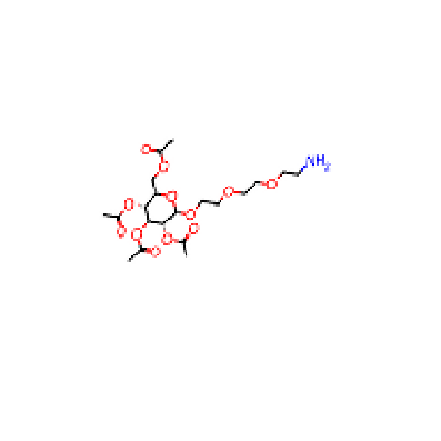 CC(=O)OC[C@H]1O[C@@H](OCCOCCOCCN)[C@H](OC(C)=O)[C@@H](OC(C)=O)[C@@H]1OC(C)=O